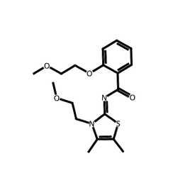 COCCOc1ccccc1C(=O)N=c1sc(C)c(C)n1CCOC